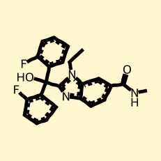 CCn1c(C(O)(c2ccccc2F)c2ccccc2F)nc2ccc(C(=O)NC)cc21